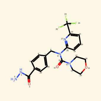 NNC(=O)c1ccc(CN(C(=O)N2CCOCC2)c2cccc(C(F)(F)F)n2)cc1